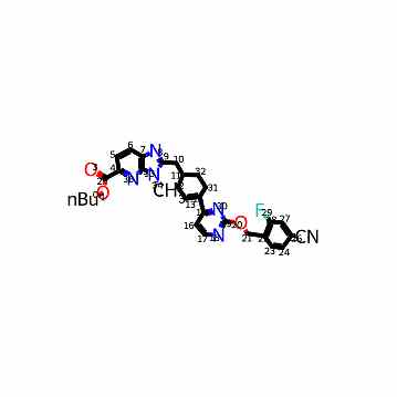 CCCCOC(=O)c1ccc2nc(CC3CC=C(c4ccnc(OCc5ccc(C#N)cc5F)n4)CC3)n(C)c2n1